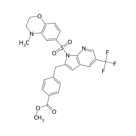 COC(=O)c1ccc(Cc2cc3cc(C(F)(F)F)cnc3n2S(=O)(=O)c2ccc3c(c2)N(C)CCO3)cc1